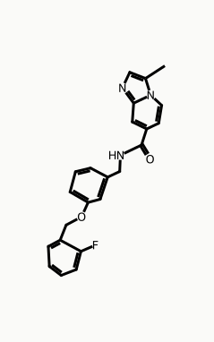 Cc1cnc2cc(C(=O)NCc3cccc(OCc4ccccc4F)c3)ccn12